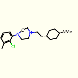 CN[C@H]1CC[C@H](CCN2CCN(c3cccc(C)c3Cl)CC2)CC1